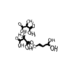 C=C(C(=O)O)C(=O)O.C=C(C(=O)O)C(=O)O.CCCC(O)O